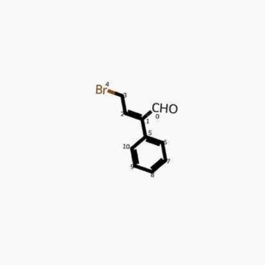 O=CC(=CCBr)c1ccccc1